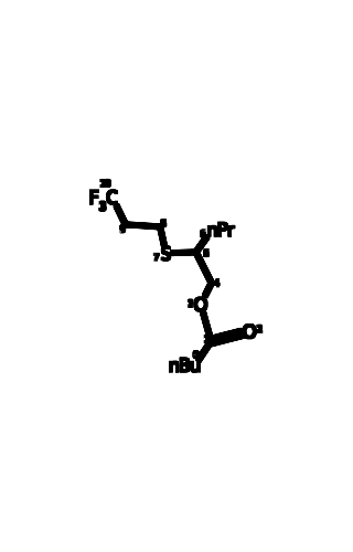 CCCCC(=O)OCC(CCC)SCCC(F)(F)F